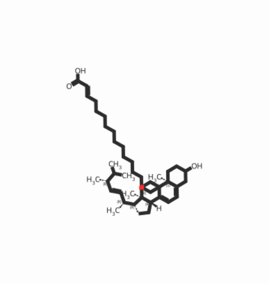 CC(C)[C@@H](C)C=C[C@@H](C)[C@H]1CC[C@H]2C3=CC=C4CC(O)CC[C@]4(C)C3(CCCCCCCCCCCCCC=CC(=O)O)CC[C@]12C